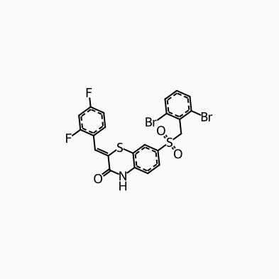 O=C1Nc2ccc(S(=O)(=O)Cc3c(Br)cccc3Br)cc2SC1=Cc1ccc(F)cc1F